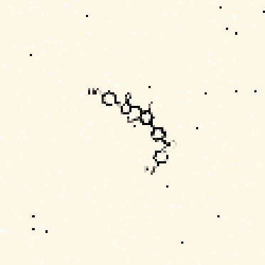 O=C(c1ccc(-c2cc(Cl)c(CC3CCN(C4CCC(O)CC4)C3=O)c(Cl)c2)cc1)N1CCC(C(F)(F)F)CC1